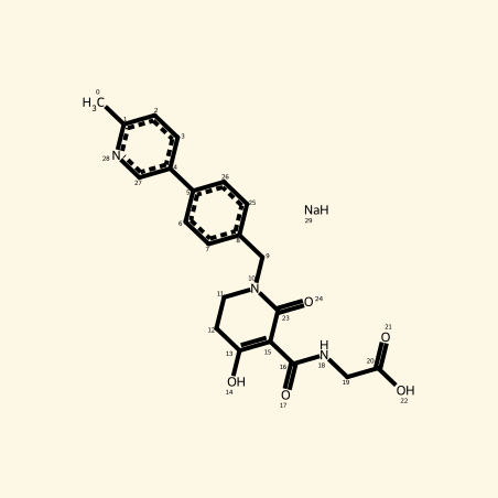 Cc1ccc(-c2ccc(CN3CCC(O)=C(C(=O)NCC(=O)O)C3=O)cc2)cn1.[NaH]